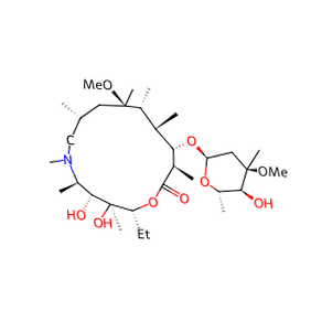 CC[C@H]1OC(=O)[C@H](C)[C@@H](O[C@H]2C[C@@](C)(OC)[C@@H](O)[C@H](C)O2)[C@H](C)[C@@H](C)[C@](C)(OC)C[C@@H](C)CN(C)[C@H](C)[C@@H](O)[C@]1(C)O